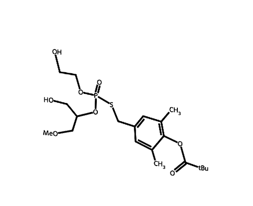 COCC(CO)OP(=O)(OCCO)SCc1cc(C)c(OC(=O)C(C)(C)C)c(C)c1